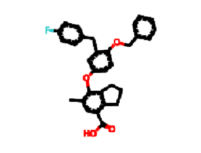 Cc1cc(C(=O)O)c2c(c1Oc1ccc(OCc3ccccc3)c(Cc3ccc(F)cc3)c1)CCC2